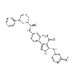 COc1cc(Nc2[nH]nc(-c3ccc(NC(=O)N4CCCC(c5ccccc5)C4)cc3)c2C(N)=O)ccn1